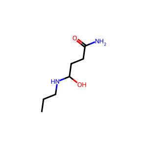 CCCNC(O)CCC(N)=O